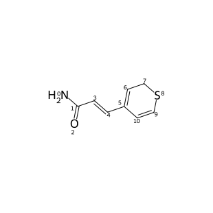 NC(=O)C=CC1=CCSC=C1